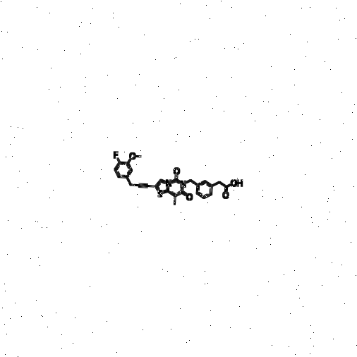 COc1cc(CC#Cc2cn3c(=O)n(Cc4cccc(CC(=O)O)c4)c(=O)c(C)c3s2)ccc1F